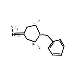 C[C@@H]1C/C(=N/N)C[C@H](C)N1Cc1ccccc1